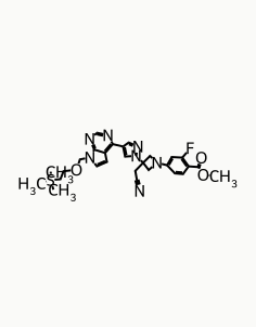 COC(=O)c1ccc(N2CC(CC#N)(n3cc(-c4ncnc5c4ccn5COCCS(C)(C)C)cn3)C2)cc1F